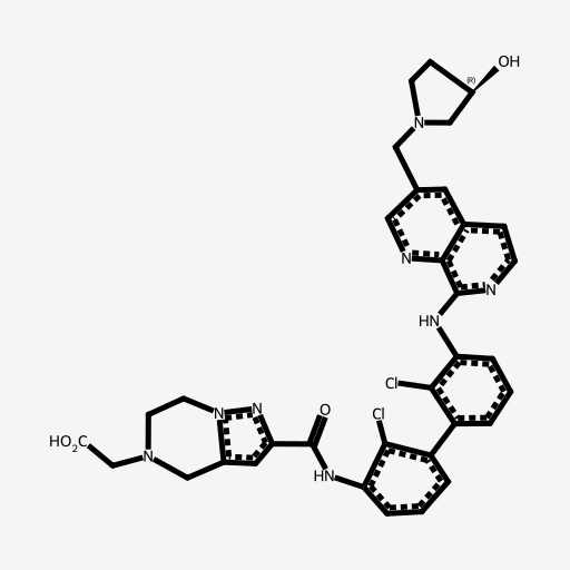 O=C(O)CN1CCn2nc(C(=O)Nc3cccc(-c4cccc(Nc5nccc6cc(CN7CC[C@@H](O)C7)cnc56)c4Cl)c3Cl)cc2C1